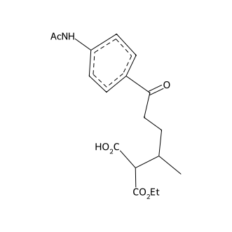 CCOC(=O)C(C(=O)O)C(C)CCC(=O)c1ccc(NC(C)=O)cc1